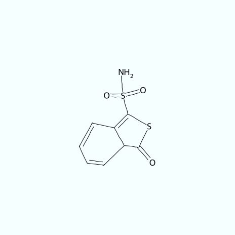 NS(=O)(=O)C1=C2C=CC=CC2C(=O)S1